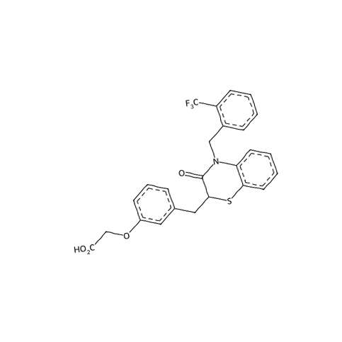 O=C(O)COc1cccc(CC2Sc3ccccc3N(Cc3ccccc3C(F)(F)F)C2=O)c1